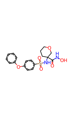 O=C(NO)C1(NS(=O)(=O)c2ccc(Oc3ccccc3)cc2)CCCOC1